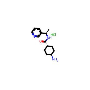 C[C@@H](NC(=O)[C@H]1CC[C@H](N)CC1)c1cccnc1.Cl